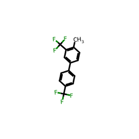 Cc1ccc(-c2ccc(C(F)(F)F)cc2)cc1C(F)(F)F